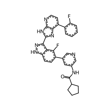 O=C(Nc1cncc(-c2ccc3[nH]nc(-c4nc5c(-c6ccccc6F)ccnc5[nH]4)c3c2F)c1)C1CCCC1